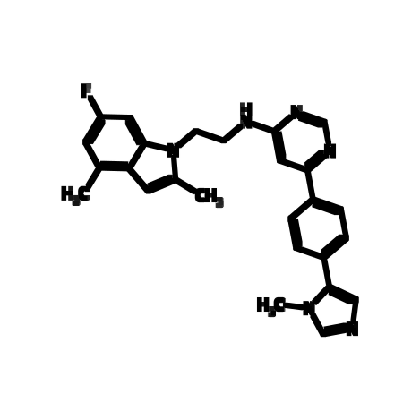 Cc1cc(F)cc2c1cc(C)n2CCNc1cc(-c2ccc(-c3cncn3C)cc2)ncn1